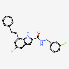 O=C(NCc1cccc(F)c1)c1cc2cc(F)cc(/C=C/c3ccccc3)c2[nH]1